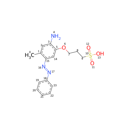 Cc1cc(N)c(OCCCS(=O)(=O)O)cc1N=Nc1ccccc1